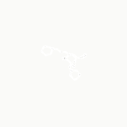 N#CC(C#N)=CN(CCCN1CCCCC1)NCCN1CCCCC1